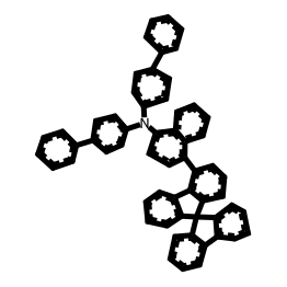 c1ccc(-c2ccc(N(c3ccc(-c4ccccc4)cc3)c3ccc(-c4cccc5c4-c4ccccc4C54c5ccccc5-c5ccccc54)c4ccccc34)cc2)cc1